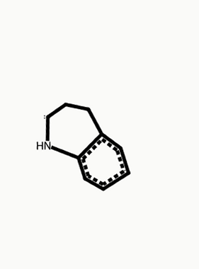 [C]1CCc2ccccc2N1